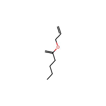 C=CCOC(=C)CCCC